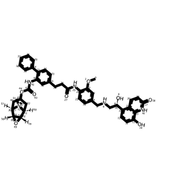 COc1cc(CNC[C@H](O)c2ccc(O)c3[nH]c(=O)ccc23)ccc1NC(=O)CCc1ccc(-c2ccccc2)c(NC(=O)OC2C[C@@H]3[C@H]4O[C@H]4[C@H](C2)[N+]3(C)C)c1